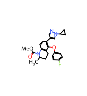 COC(=O)N1c2ccc(-c3cnn(C4CC4)c3)c(Oc3ccc(F)cc3)c2CCC1C